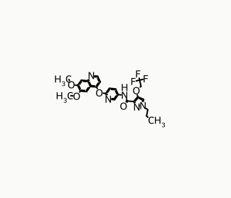 CCCn1cc(OCC(F)(F)F)c(C(=O)Nc2ccc(Oc3ccnc4cc(OC)c(OC)cc34)nc2)n1